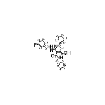 O=C(NCc1cccnc1)c1c(CO)cc(-c2ccccc2)nc1NCCc1cccc(F)c1